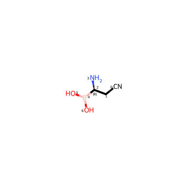 N#CC[C@H](N)B(O)O